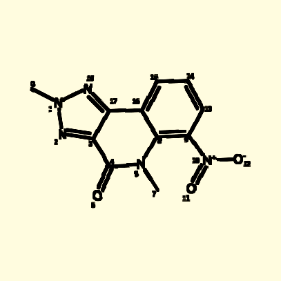 Cn1nc2c(=O)n(C)c3c([N+](=O)[O-])cccc3c2n1